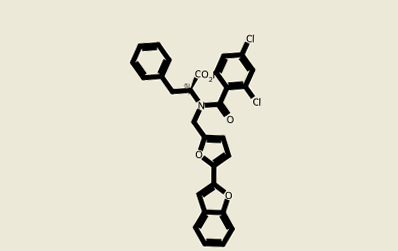 O=C(O)[C@H](Cc1ccccc1)N(Cc1ccc(-c2cc3ccccc3o2)o1)C(=O)c1ccc(Cl)cc1Cl